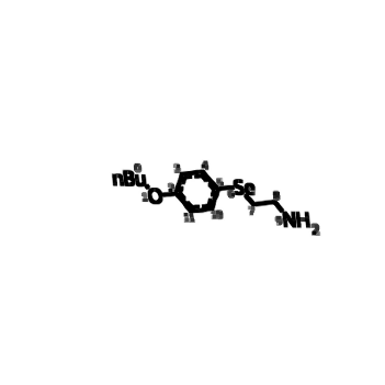 CCCCOc1ccc([Se]CCN)cc1